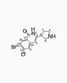 O=c1[nH]c(C2CCNC2)cc2cc(Cl)c(Br)cc12